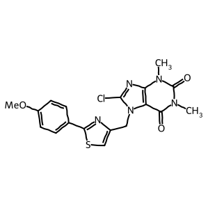 COc1ccc(-c2nc(Cn3c(Cl)nc4c3c(=O)n(C)c(=O)n4C)cs2)cc1